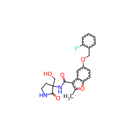 Cc1oc2ccc(OCc3ccccc3F)cc2c1C(=O)NC1(CO)CCNC1=O